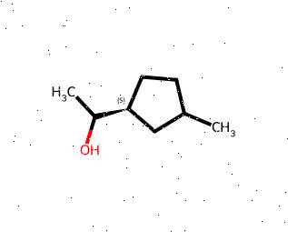 CC1CC[C@H](C(C)O)C1